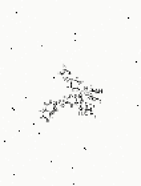 CC(C)(C)Sc1c(CC(C)(C)C(=O)O)n(Cc2ccc(-c3ncc(F)s3)cc2)c2ccc(OCc3ccc4ccccc4n3)cc12